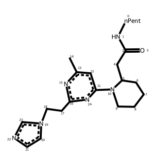 CCCCCNC(=O)CC1CCCCN1c1cc(C)nc(CCn2ccnc2)n1